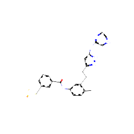 Cc1ccc(NC(=O)c2cccc(C[SH](=O)=O)c2)cc1CCc1cc(Nc2cnccn2)[nH]n1